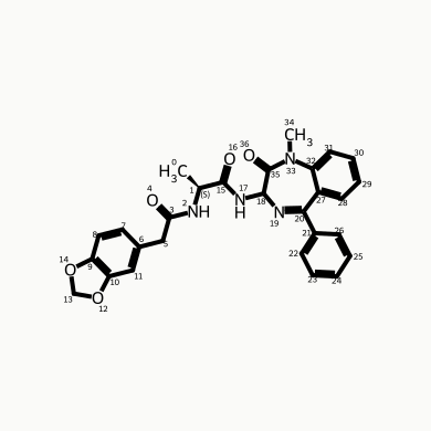 C[C@H](NC(=O)Cc1ccc2c(c1)OCO2)C(=O)NC1N=C(c2ccccc2)c2ccccc2N(C)C1=O